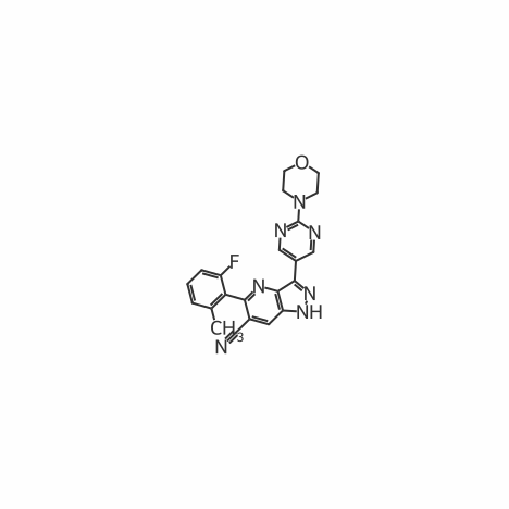 Cc1cccc(F)c1-c1nc2c(-c3cnc(N4CCOCC4)nc3)n[nH]c2cc1C#N